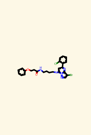 O=C(CCOc1ccccc1)NCCCCNc1cc(-c2ccccc2Cl)nc2c(Br)cnn12